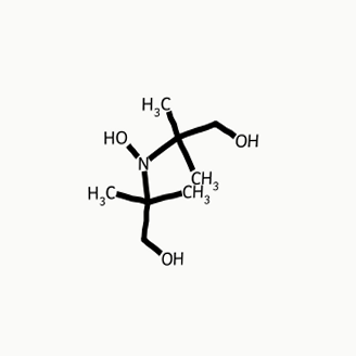 CC(C)(CO)N(O)C(C)(C)CO